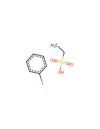 CCS(=O)(=O)O.Ic1ccccc1